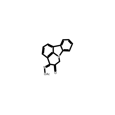 CC(=O)O/N=C1\C(=O)Cn2c3ccccc3c3cccc1c32